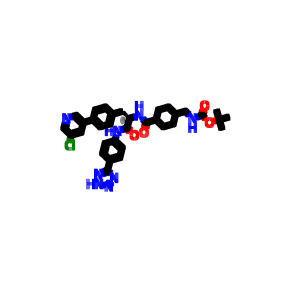 CC(C)(C)OC(=O)NCC1CCC(C(=O)N[C@@H](Cc2ccc(-c3cncc(Cl)c3)cc2)C(=O)Nc2ccc(-c3nn[nH]n3)cc2)CC1